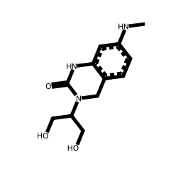 CNc1ccc2c(c1)NC(=O)N(C(CO)CO)C2